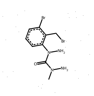 CN(N)C(=O)N(N)c1cccc(Br)c1CBr